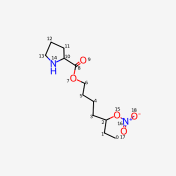 CCC(CCCCOC(=O)C1CCCN1)O[N+](=O)[O-]